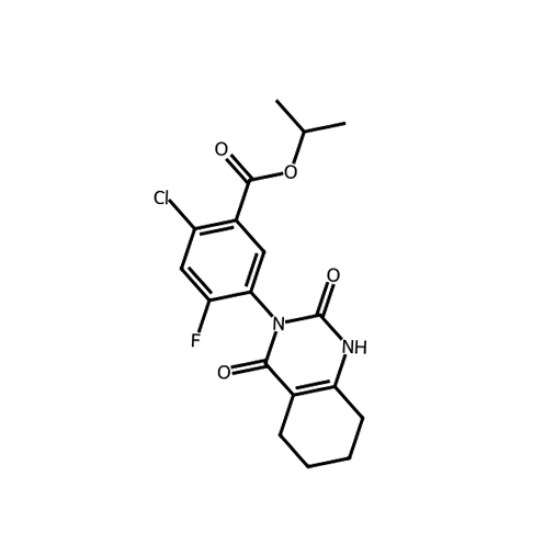 CC(C)OC(=O)c1cc(-n2c(=O)[nH]c3c(c2=O)CCCC3)c(F)cc1Cl